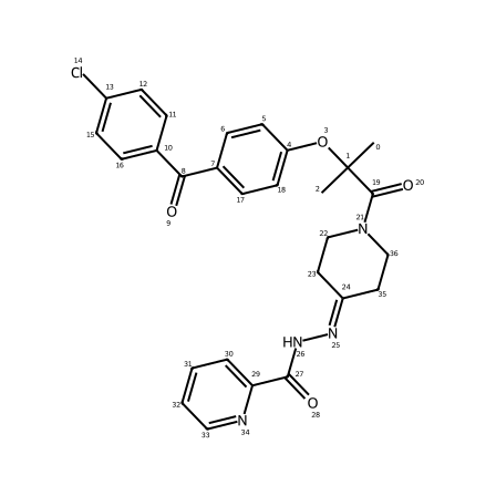 CC(C)(Oc1ccc(C(=O)c2ccc(Cl)cc2)cc1)C(=O)N1CCC(=NNC(=O)c2ccccn2)CC1